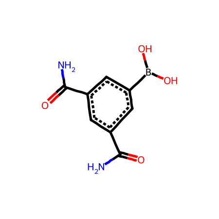 NC(=O)c1cc(B(O)O)cc(C(N)=O)c1